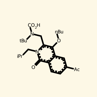 CCCCOc1c(CN(C(=O)O)C(C)(C)C)n(CC(C)C)c(=O)c2ccc(C(C)=O)cc12